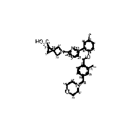 Cc1ccc(OCc2ccc(CN3CCOCC3)cc2C)c(-c2csc(N3CC4(CC4C(=O)O)C3)n2)c1